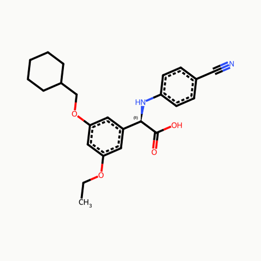 CCOc1cc(OCC2CCCCC2)cc([C@@H](Nc2ccc(C#N)cc2)C(=O)O)c1